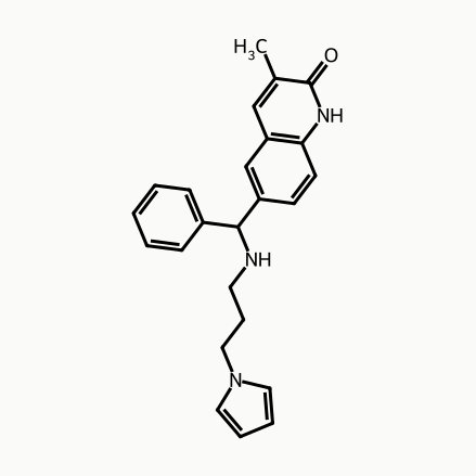 Cc1cc2cc(C(NCCCn3cccc3)c3ccccc3)ccc2[nH]c1=O